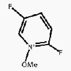 CO[n+]1cc(F)ccc1F